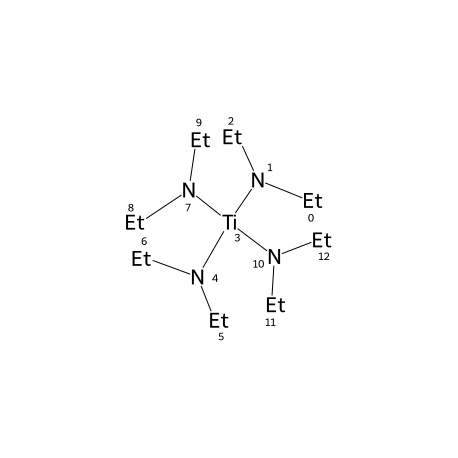 CC[N](CC)[Ti]([N](CC)CC)([N](CC)CC)[N](CC)CC